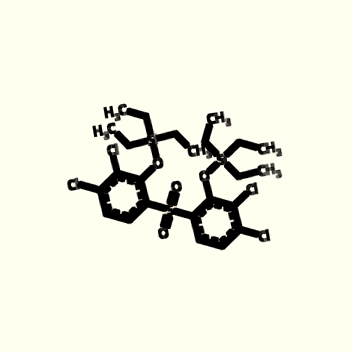 CC[Si](CC)(CC)Oc1c(S(=O)(=O)c2ccc(Cl)c(Cl)c2O[Si](CC)(CC)CC)ccc(Cl)c1Cl